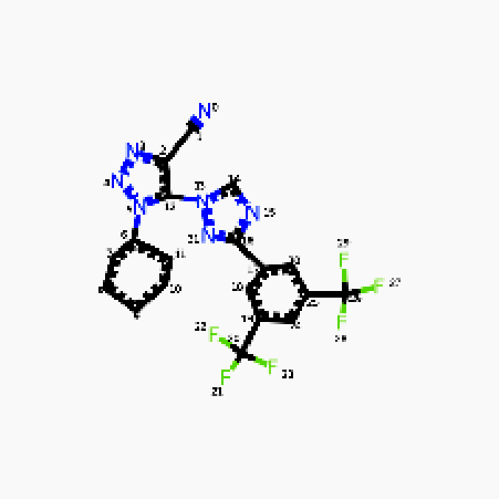 N#Cc1nnn(-c2ccccc2)c1-n1cnc(-c2cc(C(F)(F)F)cc(C(F)(F)F)c2)n1